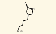 CCCCCCCCCCC1CNC(=O)C1